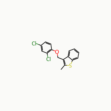 Cc1sc2ccccc2c1COc1ccc(Cl)cc1Cl